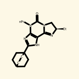 CCCN1C(=O)N2C[C@@H](CC)N=C2c2[nH]c(C34CCC(CC3)CC4)nc21